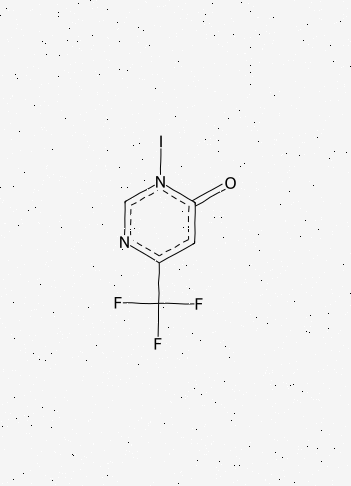 O=c1cc(C(F)(F)F)ncn1I